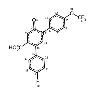 O=C(O)c1cc(=O)n(-c2ccc(OC(F)(F)F)cc2)cc1-c1ccc(F)cc1